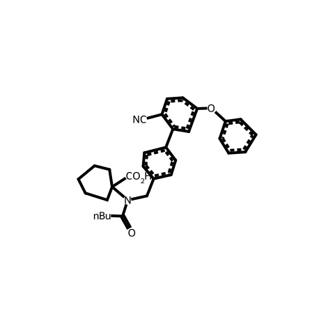 CCCCC(=O)N(Cc1ccc(-c2cc(Oc3ccccc3)ccc2C#N)cc1)C1(C(=O)O)CCCCC1